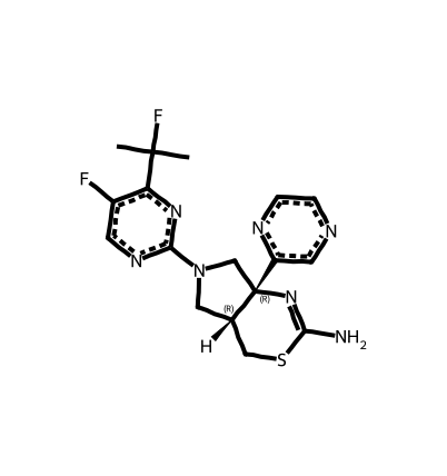 CC(C)(F)c1nc(N2C[C@H]3CSC(N)=N[C@@]3(c3cnccn3)C2)ncc1F